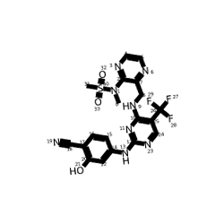 CN(c1nccnc1CNc1nc(Nc2ccc(C#N)c(O)c2)ncc1C(F)(F)F)S(C)(=O)=O